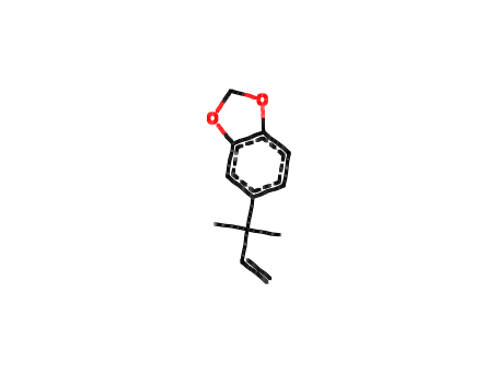 C=CC(C)(C)c1ccc2c(c1)OCO2